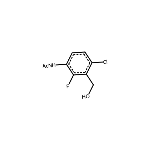 CC(=O)Nc1ccc(Cl)c(CO)c1F